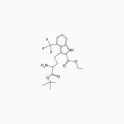 CCOC(=O)c1[nH]c2cccc(C(F)(F)F)c2c1CCC(N)C(=O)OC(C)(C)C